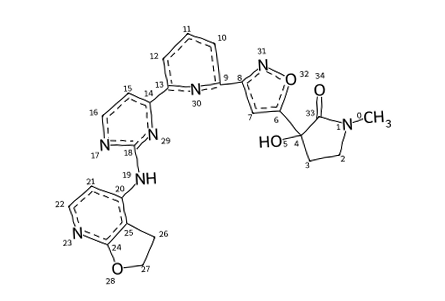 CN1CCC(O)(c2cc(-c3cccc(-c4ccnc(Nc5ccnc6c5CCO6)n4)n3)no2)C1=O